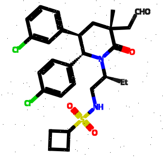 CC[C@@H](CNS(=O)(=O)C1CCC1)N1C(=O)[C@@](C)(CC=O)C[C@H](c2cccc(Cl)c2)[C@H]1c1ccc(Cl)cc1